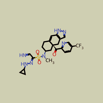 CN([C@H]1CCC2=Cc3[nH]ncc3C[C@]2(C(=O)c2ccc(C(F)(F)F)cn2)C1)S(=O)(=O)/C(C=N)=N/NC1CC1